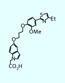 CCc1csc(-c2ccc(OCCCOc3ccc4c(ccn4CC(=O)O)c3)c(OC)c2)n1